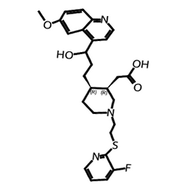 COc1ccc2nccc(C(O)CC[C@@H]3CCN(CCSc4ncccc4F)C[C@@H]3CC(=O)O)c2c1